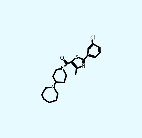 Cc1nc(-c2cccc(Cl)c2)sc1C(=O)N1CCC(N2CCCCCC2)CC1